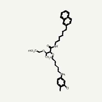 Cc1ccc(NCCCCCOC(C(=O)NCCCCCCc2ccc3ccccc3c2)C(OCC(=O)O)C(=O)O)cc1Cl